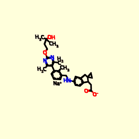 Cc1nc(OCCC(C)(C)O)nc(C)c1-c1cccc(CNc2ccc3c(c2)CC2(CC2)C3CC(=O)[O-])c1C.[Na+]